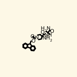 CC(C)(NC(=O)C1(N)CCN(C(=O)OCC2c3ccccc3-c3ccccc32)CC1)C(N)=O